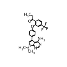 CCC(=O)c1ccc(C(F)(F)F)cc1Oc1ccc(-c2cn(C(C)C)c3ncnc(N)c23)cc1